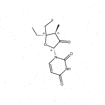 CC[C@@]1(CF)O[C@@H](n2ccc(=O)[nH]c2=O)C(=O)[C@@H]1C